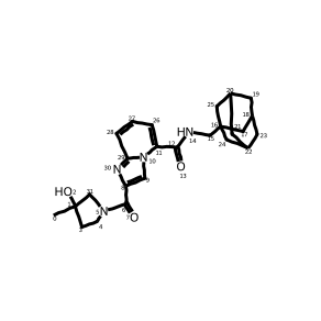 CC1(O)CCN(C(=O)c2cn3c(C(=O)NCC45CC6CC(CC(C6)C4)C5)cccc3n2)C1